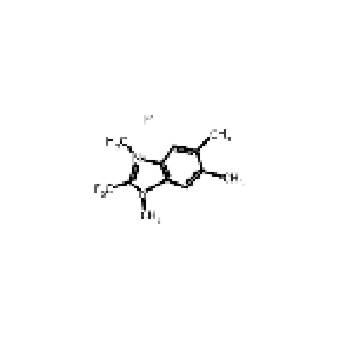 Cc1cc2c(cc1C)[n+](C)c(C(F)(F)F)n2C.[F-]